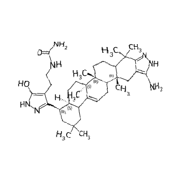 CC1(C)CC2C3=CCC4[C@@]5(C)Cc6c(n[nH]c6N)C(C)(C)C5CC[C@@]4(C)[C@]3(C)CC[C@@H]2[C@H](c2n[nH]c(O)c2CCNC(N)=O)C1